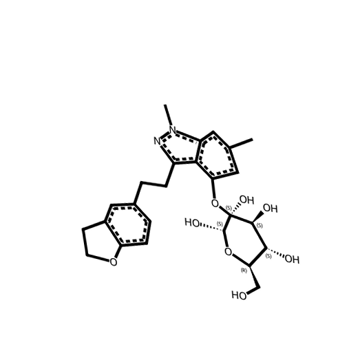 Cc1cc(O[C@]2(O)[C@@H](O)O[C@H](CO)[C@@H](O)[C@@H]2O)c2c(CCc3ccc4c(c3)CCO4)nn(C)c2c1